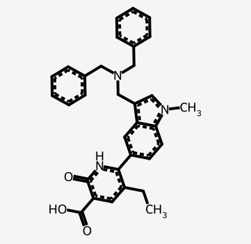 CCc1cc(C(=O)O)c(=O)[nH]c1-c1ccc2c(c1)c(CN(Cc1ccccc1)Cc1ccccc1)cn2C